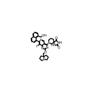 O=C1NC(=O)C2(CCCN(c3nc(OCC45CCCN4CCC5)nc4c(F)c(-c5cccc6cccc(CO)c56)ncc34)C2)N1